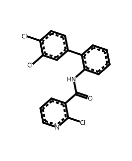 O=C(Nc1ccccc1-c1ccc(Cl)c(Cl)c1)c1cccnc1Cl